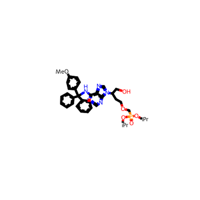 COc1ccc(C(Nc2ncnc3c2ncn3C(CO)CCOCP(=O)(OC(C)C)OC(C)C)(c2ccccc2)c2ccccc2)cc1